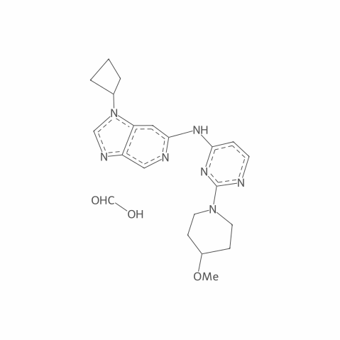 COC1CCN(c2nccc(Nc3cc4c(cn3)ncn4C3CCC3)n2)CC1.O=CO